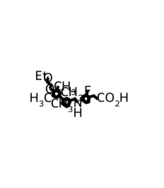 CCOCCOc1c(C)c(C)c(-c2cccc(CNc3ccc(CCC(=O)O)c(F)c3)c2)c(C)c1C